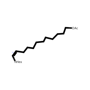 CCCCCC/C=C\CCCCCCCCCCOC(C)=O